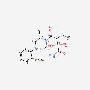 COc1ccccc1N1CCN(C(=O)C(CC(C)C)C(O)(O)C(N)=O)[C@H](C)C1